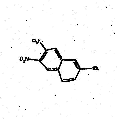 CC(C)(C)c1ccc2cc([N+](=O)[O-])c([N+](=O)[O-])cc2c1